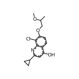 COC(C)COc1ccc2c(O)cc(C3CC3)nc2c1Cl